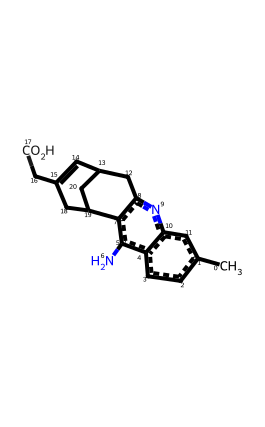 Cc1ccc2c(N)c3c(nc2c1)CC1C=C(CC(=O)O)CC3C1